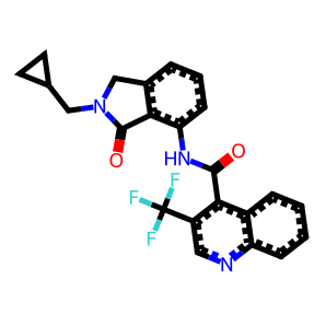 O=C(Nc1cccc2c1C(=O)N(CC1CC1)C2)c1c(C(F)(F)F)cnc2ccccc12